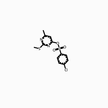 CSc1nc(C)cc(OS(=O)(=O)c2ccc(Cl)cc2)n1